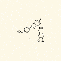 C=C/N=C(/NCC1=CC2=C(CC1)OCO2)C1SC(c2ccc(CO)cc2)=CC1N